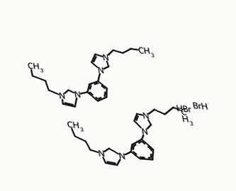 Br.Br.CCCCN1C=CN(c2cccc(N3C=CN(CCCC)C3)c2)C1.CCCCN1C=CN(c2cccc(N3C=CN(CCCC)C3)c2)C1